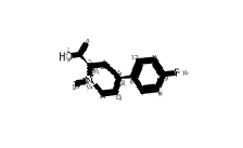 C=C(O)[C@H]1C[C@@H](c2ccc(F)cc2)CCN1C